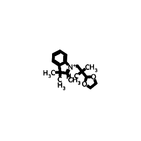 CC1=[N+](CC(C)(C)C2OCCO2)c2ccccc2C1(C)C